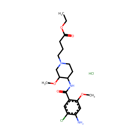 CCOC(=O)CCCN1CCC(NC(=O)c2cc(Cl)c(N)cc2OC)C(OC)C1.Cl